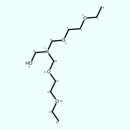 CCOCCOCN(CO)COCCOCC